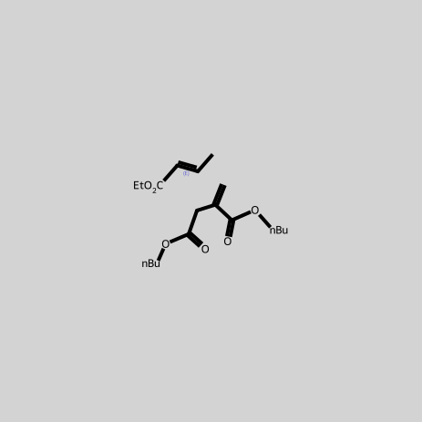 C/C=C/C(=O)OCC.C=C(CC(=O)OCCCC)C(=O)OCCCC